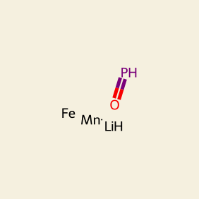 O=P.[Fe].[LiH].[Mn]